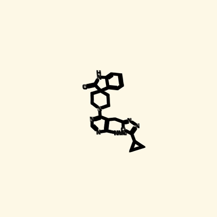 CNc1ncnc(N2CCC3(CC2)C(=O)Nc2ccccc23)c1Cc1nnc(C2CC2)o1